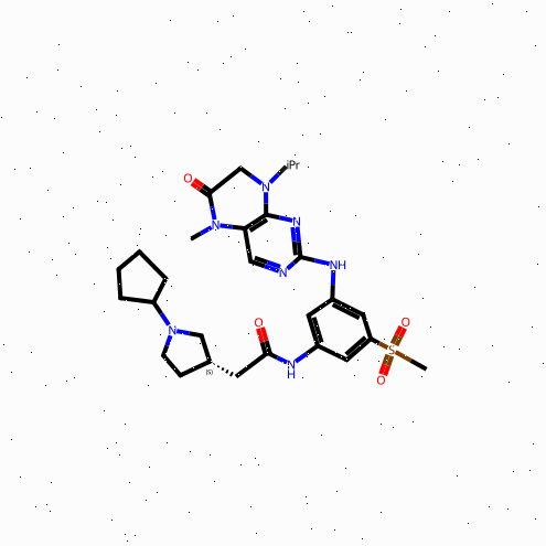 CC(C)N1CC(=O)N(C)c2cnc(Nc3cc(NC(=O)C[C@@H]4CCN(C5CCCC5)C4)cc(S(C)(=O)=O)c3)nc21